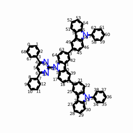 c1ccc(-c2cc(-c3ccccc3)nc(-n3c4ccc(-c5ccc6c(c5)c5ccccc5n6-c5ccccc5)cc4c4cc(-c5ccc6c(c5)c5ccccc5n6-c5ccccc5)ccc43)n2)cc1